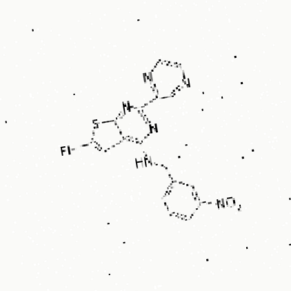 CCc1cc2c(NCc3cccc([N+](=O)[O-])c3)nc(-c3cnccn3)nc2s1